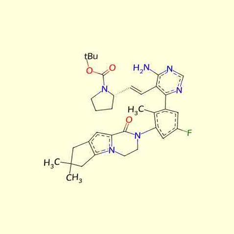 Cc1c(-c2ncnc(N)c2C=C[C@@H]2CCCN2C(=O)OC(C)(C)C)cc(F)cc1N1CCn2c(cc3c2CC(C)(C)C3)C1=O